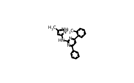 Cc1cc(Nc2nc(-c3ccccc3)cc(-c3ccccc3C(F)(F)F)n2)n[nH]1